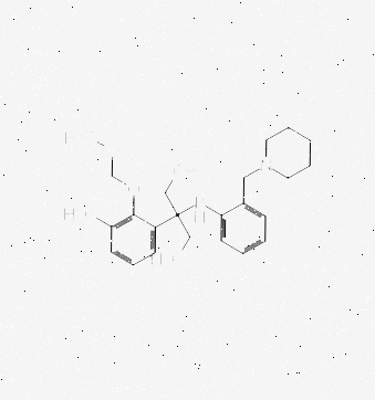 CCC(CC)(Pc1ccccc1CN1CCCCC1)c1cccc(C)c1OCOC